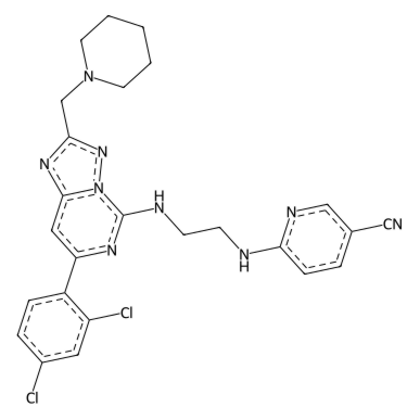 N#Cc1ccc(NCCNc2nc(-c3ccc(Cl)cc3Cl)cc3nc(CN4CCCCC4)nn23)nc1